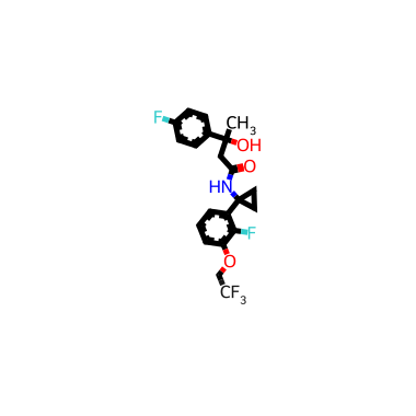 CC(O)(CC(=O)NC1(c2cccc(OCC(F)(F)F)c2F)CC1)c1ccc(F)cc1